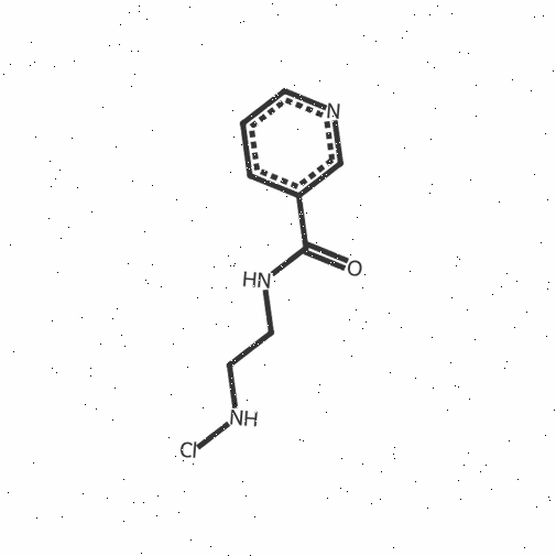 O=C(NCCNCl)c1cccnc1